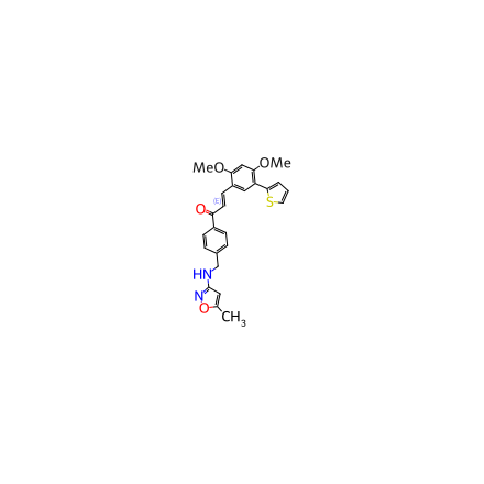 COc1cc(OC)c(-c2cccs2)cc1/C=C/C(=O)c1ccc(CNc2cc(C)on2)cc1